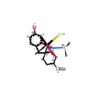 COC1CCC2(CC1)Cc1ccc(Br)cc1C21NC(=S)N(N(C)C)C1=O